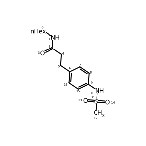 CCCCCCNC(=O)CCc1ccc(NS(C)(=O)=O)cc1